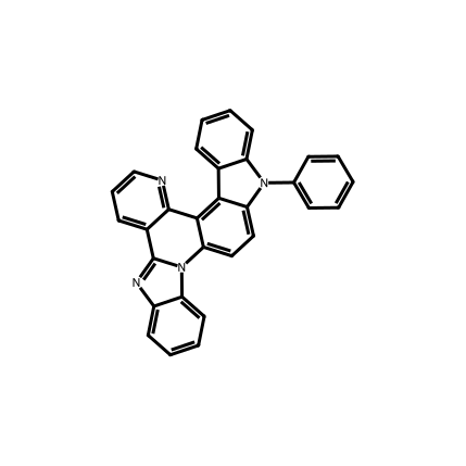 c1ccc(-n2c3ccccc3c3c4c5ncccc5c5nc6ccccc6n5c4ccc32)cc1